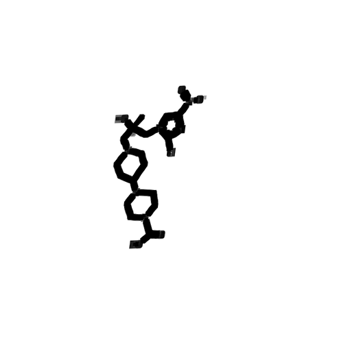 C[C@](O)(CN1CCC(N2CCN(C(=O)O)CC2)CC1)Cn1cc([N+](=O)[O-])nc1Cl